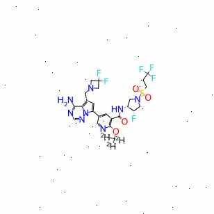 [2H]C([2H])([2H])Oc1ncc(-c2cc(CN3CC(F)(F)C3)c3c(N)ncnn23)cc1C(=O)N[C@@H]1CN(S(=O)(=O)CCC(F)(F)F)C[C@@H]1F